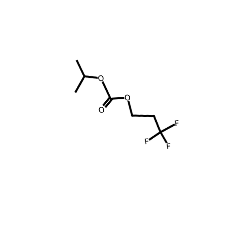 CC(C)OC(=O)OCCC(F)(F)F